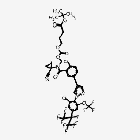 CC(C)(C)OC(=O)CCCOC(=O)OCN(C(=O)c1cc(-c2cnn(-c3c(Cl)cc(C(F)(C(F)(F)F)C(F)(F)F)cc3OC(F)(F)F)c2)ccc1Cl)C1(C#N)CC1